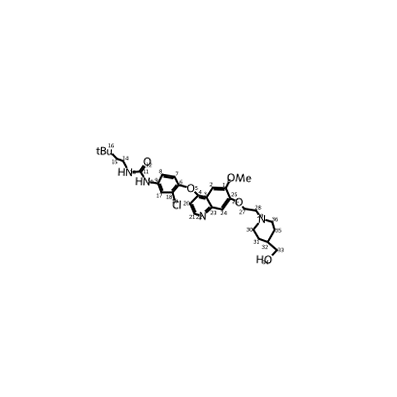 COc1cc2c(Oc3ccc(NC(=O)NCCC(C)(C)C)cc3Cl)ccnc2cc1OCCN1CCC(CO)CC1